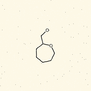 [O]CC1CCCCCO1